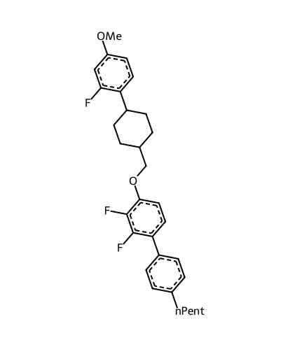 CCCCCc1ccc(-c2ccc(OCC3CCC(c4ccc(OC)cc4F)CC3)c(F)c2F)cc1